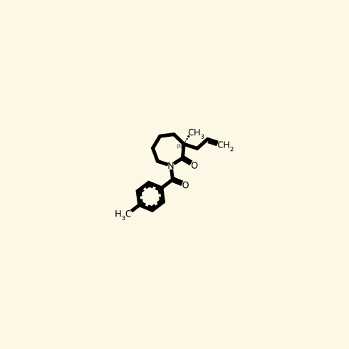 C=CC[C@]1(C)CCCCN(C(=O)c2ccc(C)cc2)C1=O